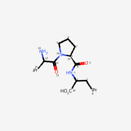 CC(C)CC(NC(=O)[C@@H]1CCCN1C(=O)C(N)C(C)C)C(=O)O